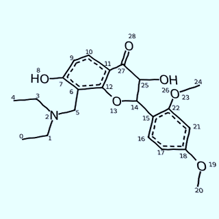 CCN(CC)Cc1c(O)ccc2c1OC(c1ccc(OC)cc1OC)C(O)C2=O